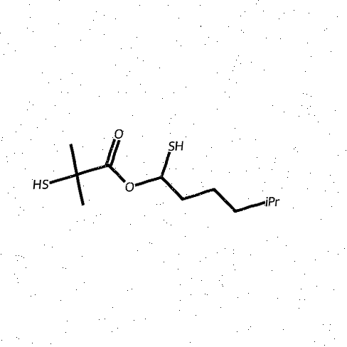 CC(C)CCCC(S)OC(=O)C(C)(C)S